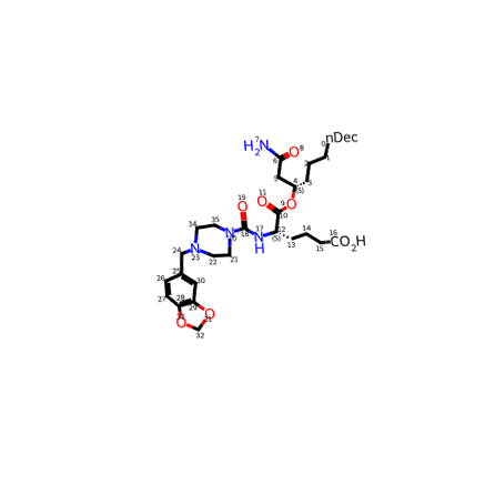 CCCCCCCCCCCCC[C@@H](CC(N)=O)OC(=O)[C@H](CCCC(=O)O)NC(=O)N1CCN(Cc2ccc3c(c2)OCO3)CC1